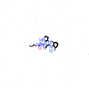 CCCCNC(=O)Nc1ncc2c(Nc3c(C)cccc3C)nc3cccnc3n12